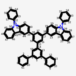 c1ccc(-c2cc(-c3ccccc3)cc(-c3cc(-c4ccc5c(c4)c4ccccc4n5-c4ccccc4)cc(-c4ccc5c(c4)c4ccccc4n5-c4ccccc4)c3)c2)cc1